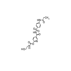 CCC(=O)Nc1ccc(S(=O)(=O)NC(=O)c2ccc(OC(=O)NCCO)nc2)cc1